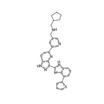 c1csc(-c2cccc3[nH]c(-c4n[nH]c5ccc(-c6cncc(CNCC7CCCC7)c6)nc45)nc23)c1